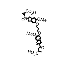 COc1cc2c(cc1OCCCOc1cc3cc(C(=O)CC(C)C(=O)O)sc3cc1OC)CN(C(=O)[C@@H]1C[C@H]1C(=O)O)C2